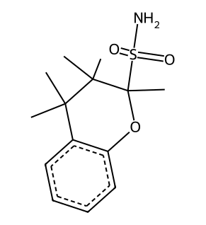 CC1(C)c2ccccc2OC(C)(S(N)(=O)=O)C1(C)C